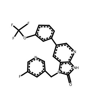 O=c1[nH]c2ncc(-c3cccc(OC(F)(F)F)c3)cc2n1Cc1cncc(F)c1